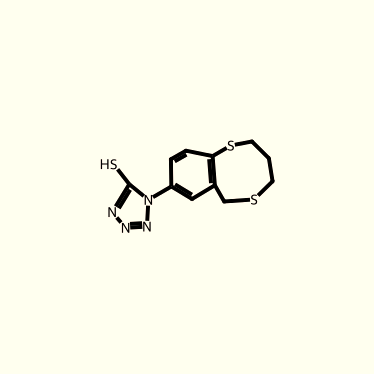 Sc1nnnn1-c1ccc2c(c1)CSCCCS2